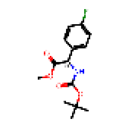 COC(=O)[C@H](NC(=O)OC(C)(C)C)c1ccc(F)cc1